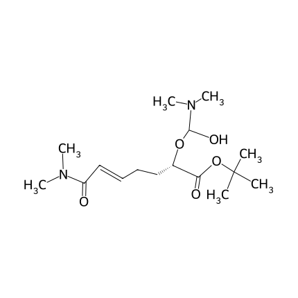 CN(C)C(=O)/C=C/CC[C@H](OC(O)N(C)C)C(=O)OC(C)(C)C